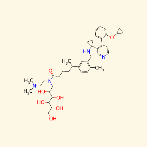 Cc1ccc(C(C)CCCC(=O)N(CCN(C)C)CC(O)C(O)C(O)C(O)CO)cc1CNC1(c2cnccc2-c2ccccc2OC2CC2)CC1